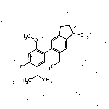 CCc1cc2c(cc1-c1cc(C(C)C)c(F)cc1OC)CCC2C